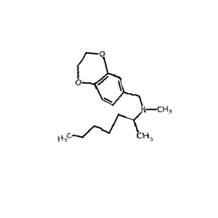 CCCCCC(C)N(C)Cc1ccc2c(c1)OCCO2